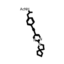 CC(=O)NC(C)Cc1ccc(C#Cc2cnc(N3CCC4(CCCC4)C3)nc2)cc1